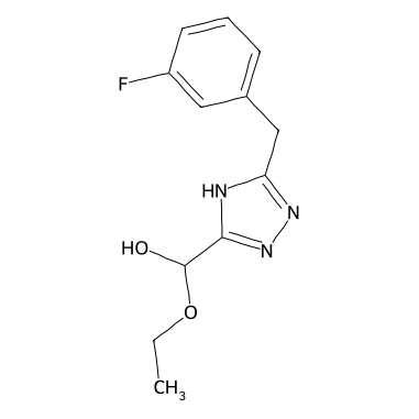 CCOC(O)c1nnc(Cc2cccc(F)c2)[nH]1